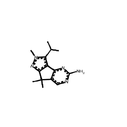 CC(C)c1c2c(nn1C)C(C)(C)c1cnc(N)nc1-2